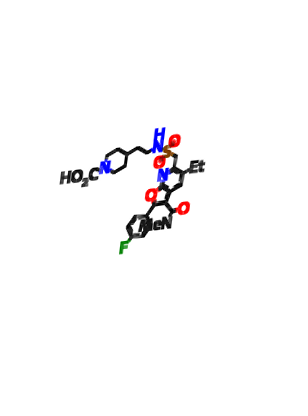 CCc1cc2c(C(=O)NC)c(-c3ccc(F)cc3)oc2nc1CS(=O)(=O)NCCC1CCN(C(=O)O)CC1